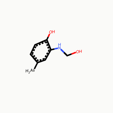 OCNc1cc([AsH2])ccc1O